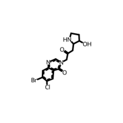 O=C(CC1NCCC1O)Cn1cnc2cc(Br)c(Cl)cc2c1=O